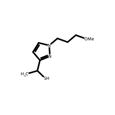 COCCCn1ccc(C(C)S)n1